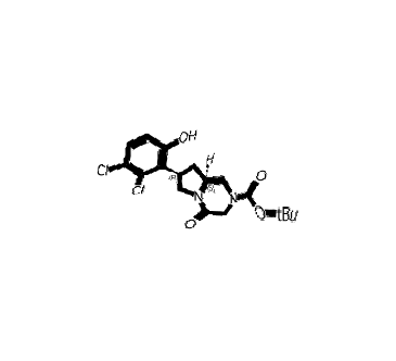 CC(C)(C)OC(=O)N1CC(=O)N2C[C@@H](c3c(O)ccc(Cl)c3Cl)C[C@H]2C1